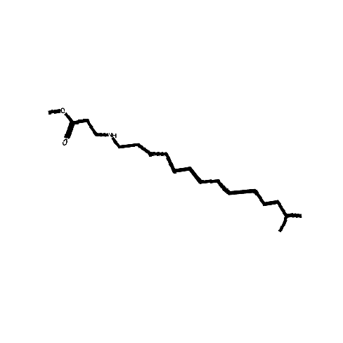 COC(=O)CCNCCCCCCCCCCCCC(C)C